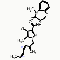 C=C(/C=C\C=C/C)Cn1nc(C(=O)N[C@H]2COc3ccccc3N(C)C2=O)c(Cl)c1C